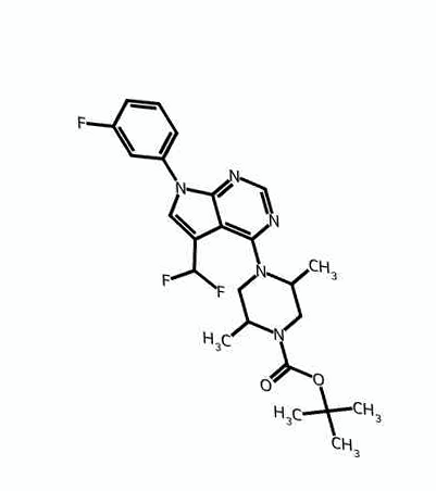 CC1CN(c2ncnc3c2c(C(F)F)cn3-c2cccc(F)c2)C(C)CN1C(=O)OC(C)(C)C